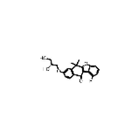 CC1(C)c2cc(OC[C@H](O)CO)ccc2C(=O)c2c1oc1cccc(F)c21